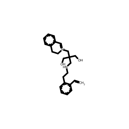 C=Cc1ccccc1CCNCC(CO)(CO)C[N+]1=Cc2ccccc2CC1